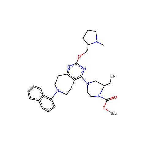 CN1CCC[C@H]1COc1nc2c(c(N3CCN(C(=O)OC(C)(C)C)C(CC#N)C3)n1)CCN(c1cccc3ccccc13)CC2